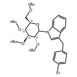 CCCCOC[C@H]1OC(n2cc(Cc3ccc(CC)cc3)c3ccccc32)[C@H](OCCCC)[C@@H](OCCCC)[C@@H]1OCCCC